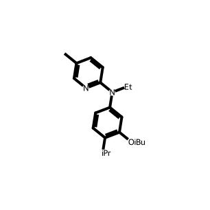 CCN(c1ccc(C(C)C)c(OCC(C)C)c1)c1ccc(C)cn1